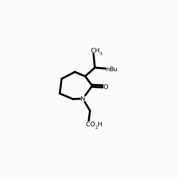 CCCCC(C)C1CCCCN(CC(=O)O)C1=O